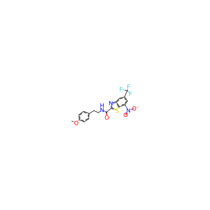 COc1ccc(CCNC(=O)c2nc3cc(C(F)(F)F)cc([N+](=O)[O-])c3s2)cc1